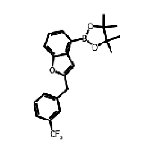 CC1(C)OB(c2cccc3oc(Cc4cccc(C(F)(F)F)c4)cc23)OC1(C)C